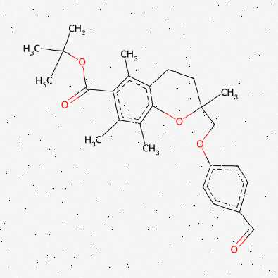 Cc1c(C)c(C(=O)OC(C)(C)C)c(C)c2c1OC(C)(COc1ccc(C=O)cc1)CC2